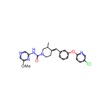 COc1cncc(NC(=O)N2CCC(=Cc3cccc(Oc4ccc(Cl)cn4)c3)C(C)C2)n1